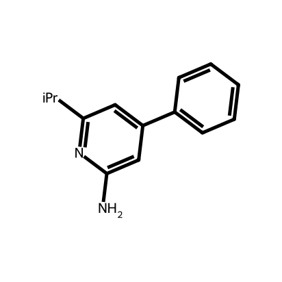 CC(C)c1cc(-c2ccccc2)cc(N)n1